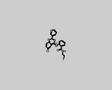 O=C(NCCF)c1ccccc1Nc1nc(-c2cccnc2)nc2ccc(Cl)cc12